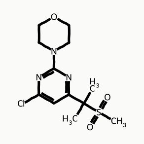 CC(C)(c1cc(Cl)nc(N2CCOCC2)n1)S(C)(=O)=O